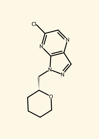 Clc1cnc2cnn(C[C@H]3CCCCO3)c2n1